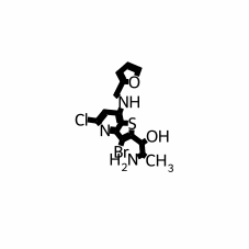 CC(N)C(O)c1sc2c(NCc3ccco3)cc(Cl)nc2c1Br